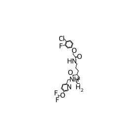 C=CC(CCCNC(=O)COc1ccc(Cl)c(F)c1)C(=O)NCc1ccc(OC(F)F)cn1